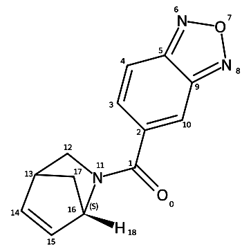 O=C(c1ccc2nonc2c1)N1CC2C=C[C@@H]1C2